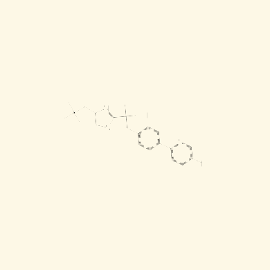 CC(C)(C)CC1CNC(C(C)(O)Cc2ccc(-c3ccc(F)cn3)cc2)=N1